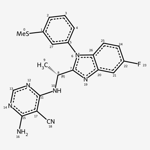 CSc1cccc(-n2c([C@@H](C)Nc3ncnc(N)c3C#N)nc3cc(F)ccc32)c1